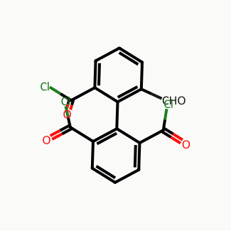 O=Cc1cccc(C(=O)Cl)c1-c1c(C(=O)Cl)cccc1C(=O)Cl